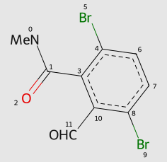 CNC(=O)c1c(Br)ccc(Br)c1C=O